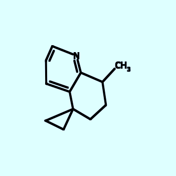 CC1CCC2(CC2)c2cccnc21